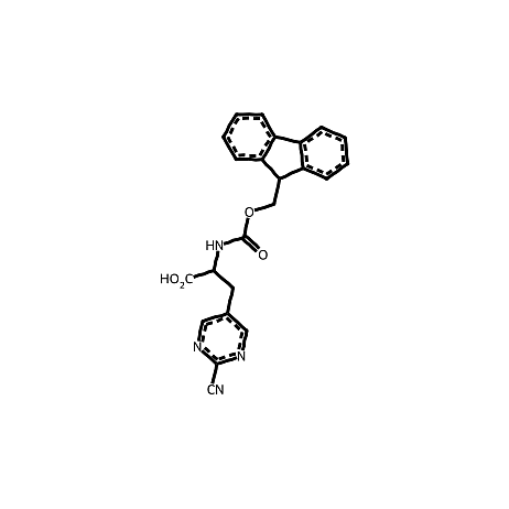 N#Cc1ncc(CC(NC(=O)OCC2c3ccccc3-c3ccccc32)C(=O)O)cn1